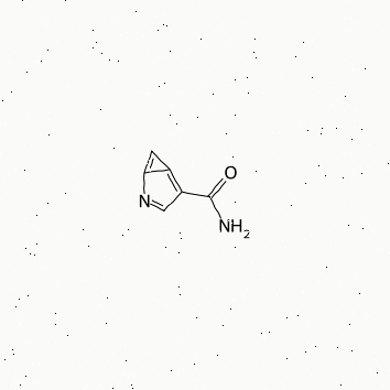 NC(=O)c1cnc2cc1-2